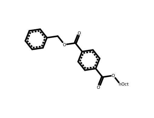 CCCCCCCCOC(=O)c1ccc(C(=O)OCc2ccccc2)cc1